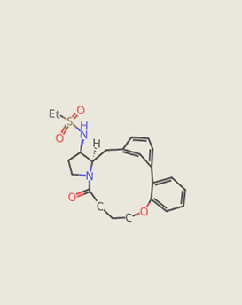 CCS(=O)(=O)N[C@@H]1CCN2C(=O)CCCOc3ccccc3-c3cccc(c3)C[C@H]12